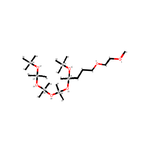 COCCOCCC[Si](C)(O[Si](C)(C)C)O[Si](C)(C)O[Si](C)(C)O[Si](C)(C)O[Si](C)(C)C